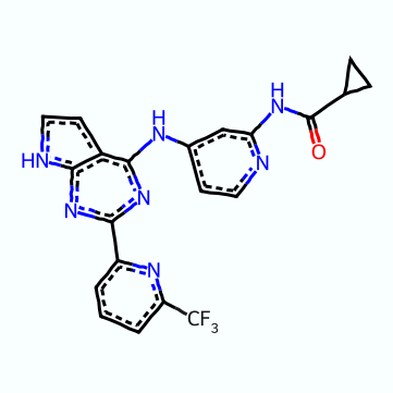 O=C(Nc1cc(Nc2nc(-c3cccc(C(F)(F)F)n3)nc3[nH]ccc23)ccn1)C1CC1